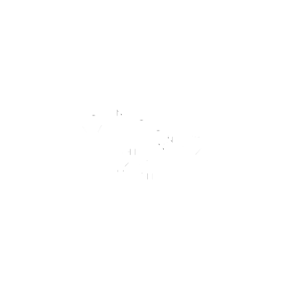 C(/CN1CCc2ccccc2C1)=C1/CCCc2c1cnn2-c1ccccc1.O=C(O)C(=O)O